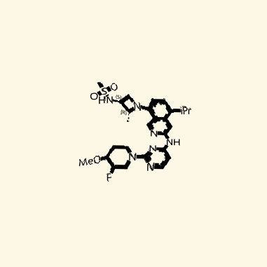 COC1CCN(c2nccc(Nc3cc4c(C(C)C)ccc(N5C[C@H](NS(C)(=O)=O)[C@H]5C)c4cn3)n2)CC1F